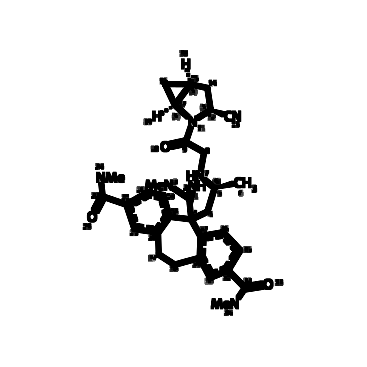 CNC(=N)C1(C[C@H](C)NCC(=O)N2[C@H](C#N)C[C@@H]3C[C@@H]32)c2ccc(C(=O)NC)cc2CCc2cc(C(=O)NC)ccc21